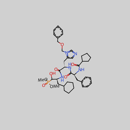 COP(=O)(OC)C(O)[C@H](CC1CCCCC1)NC(=O)[C@H](Cc1cncn1COCc1ccccc1)NC(=O)[C@H](Cc1ccccc1)NC(=O)C1CCCC1